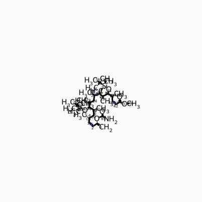 C=C/C=C\[C@H](C)[C@H](OC(N)=O)[C@@H](C)[C@H](O[Si](C)(C)C(C)(C)C)[C@@H](C)C/C(C)=C\[C@H](C)[C@@H](O[Si](C)(C)C(C)(C)C)[C@@H](C)/C=C\C(=O)OC